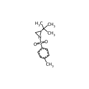 Cc1ccc(S(=O)(=O)N2C[C@H]2C(C)(C)C)cc1